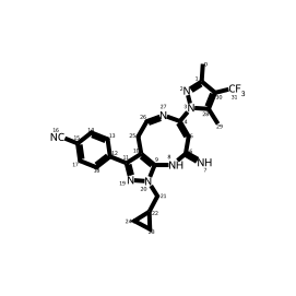 Cc1nn(C2=C/C(=N)Nc3c(c(-c4ccc(C#N)cc4)nn3CC3CC3)C/C=N\2)c(C)c1C(F)(F)F